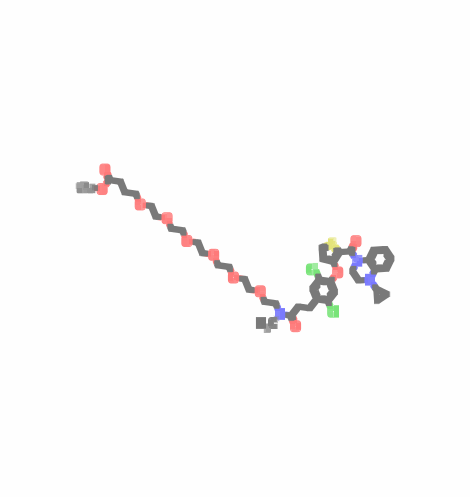 CN(CCOCCOCCOCCOCCOCCOCCCC(=O)OC(C)(C)C)C(=O)CCc1cc(Cl)c(Oc2ccsc2C(=O)N2CCN(C3CC3)c3ccccc32)cc1Cl